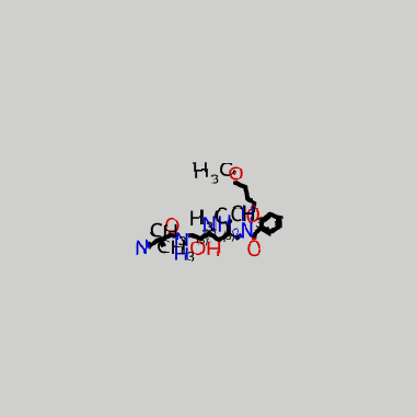 COCCCCOc1ccccc1C(=O)NC[C@@H](C[C@H](N)[C@@H](O)CNC(=O)C(C)(C)C#N)C(C)C